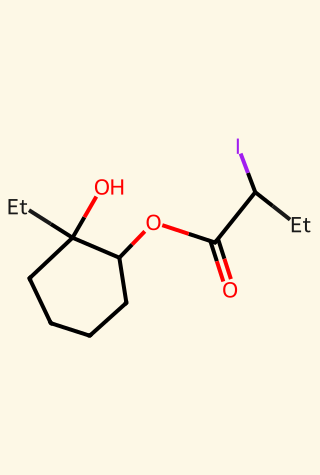 CCC(I)C(=O)OC1CCCCC1(O)CC